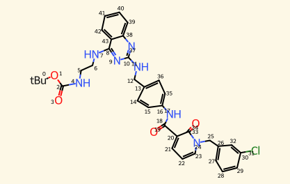 CC(C)(C)OC(=O)NCCNc1nc(NCc2ccc(NC(=O)c3cccn(Cc4cccc(Cl)c4)c3=O)cc2)nc2ccccc12